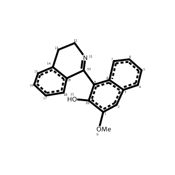 COc1cc2ccccc2c(C2=NCCc3ccccc32)c1O